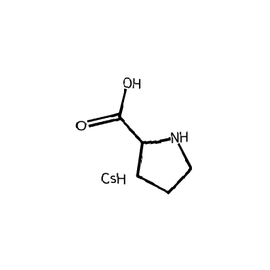 O=C(O)C1CCCN1.[CsH]